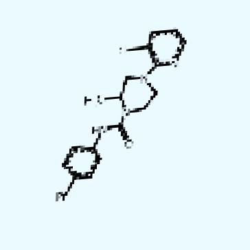 CC(C)c1ccc(NC(=O)N2CCN(c3ncccc3Cl)C[C@@H]2C)cc1